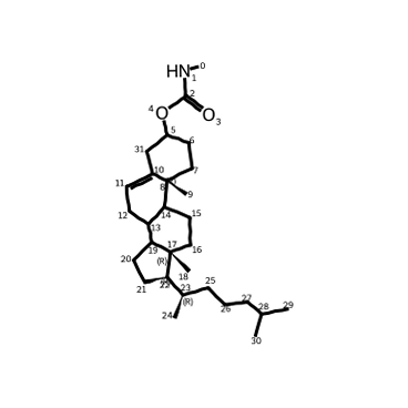 CNC(=O)OC1CC[C@@]2(C)C(=CCC3C2CC[C@@]2(C)C3CC[C@@H]2[C@H](C)CCCC(C)C)C1